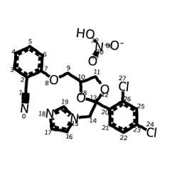 N#Cc1ccccc1OCC1COC(Cn2ccnc2)(c2ccc(Cl)cc2Cl)O1.O=[N+]([O-])O